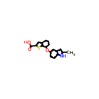 Cc1cc2cc(Oc3cccc4cc(C(=O)O)sc34)ccc2[nH]1